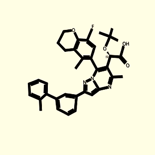 Cc1ccccc1-c1cccc(-c2cc3nc(C)c([C@H](OC(C)(C)C)C(=O)O)c(-c4cc(F)c5c(c4C)CCCO5)n3n2)c1